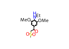 CCNc1c(OC)cc(C(=O)CS(C)(=O)=O)cc1OC